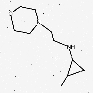 CC1CC1NCCN1CCOCC1